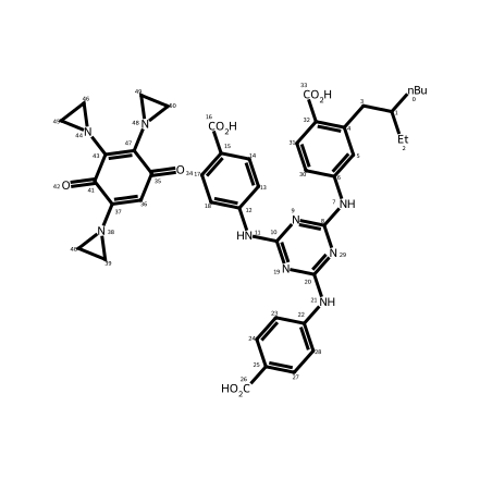 CCCCC(CC)Cc1cc(Nc2nc(Nc3ccc(C(=O)O)cc3)nc(Nc3ccc(C(=O)O)cc3)n2)ccc1C(=O)O.O=C1C=C(N2CC2)C(=O)C(N2CC2)=C1N1CC1